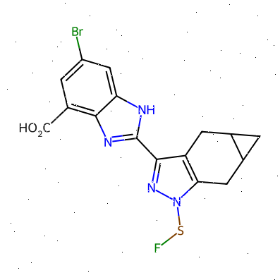 O=C(O)c1cc(Br)cc2[nH]c(-c3nn(SF)c4c3CC3CC3C4)nc12